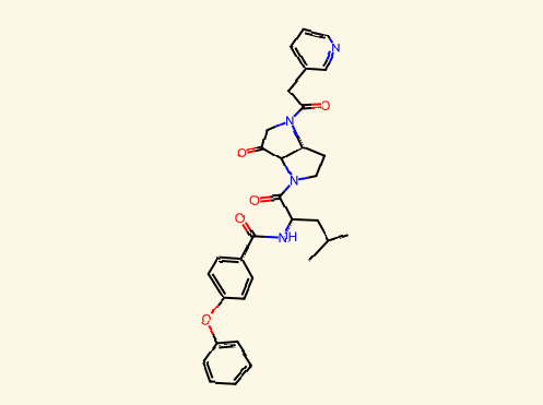 CC(C)CC(NC(=O)c1ccc(Oc2ccccc2)cc1)C(=O)N1CCC2C1C(=O)CN2C(=O)Cc1cccnc1